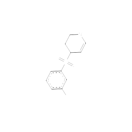 O=S(=O)(c1cccc(F)c1)C1C=CNCC1